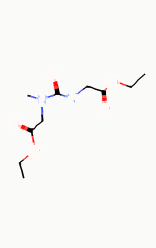 CCOC(=O)CNC(=O)N(C)CC(=O)OCC